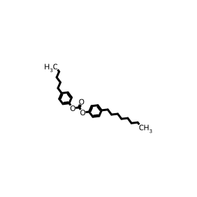 CCCCCCCCc1ccc(OC(=O)Oc2ccc(CCCCC)cc2)cc1